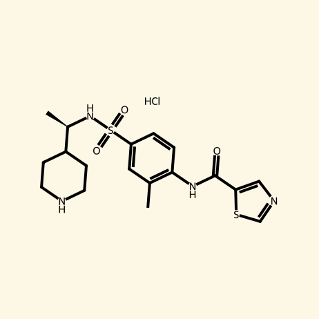 Cc1cc(S(=O)(=O)N[C@H](C)C2CCNCC2)ccc1NC(=O)c1cncs1.Cl